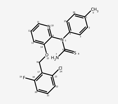 Cc1ccc(N(C(N)=S)c2ncccc2OCc2c(F)cccc2Cl)cc1